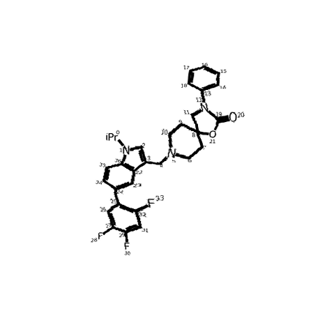 CC(C)n1cc(CN2CCC3(CC2)CN(c2ccccc2)C(=O)O3)c2cc(-c3cc(F)c(F)cc3F)ccc21